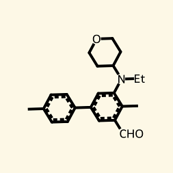 CCN(c1cc(-c2ccc(C)cc2)cc(C=O)c1C)C1CCOCC1